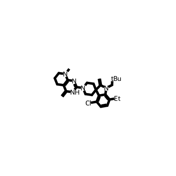 C=C1NC(N2CCC3(CC2)C(=C)N(CC(C)(C)C)c2c(CC)ccc(Cl)c23)=NC2=C1CCCN2C